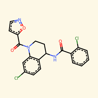 O=C(NC1CCN(C(=O)c2ccno2)c2cc(Cl)ccc21)c1ccccc1Cl